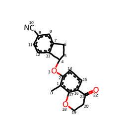 Cc1c(OC2CCc3cc(C#N)ccc32)ccc2c1OCCC2=O